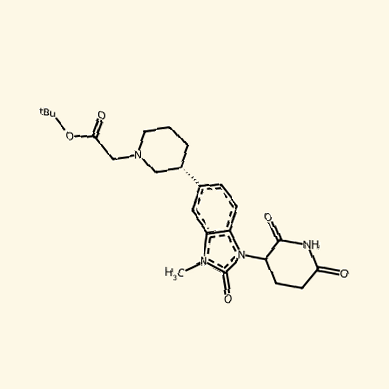 Cn1c(=O)n(C2CCC(=O)NC2=O)c2ccc([C@H]3CCCN(CC(=O)OC(C)(C)C)C3)cc21